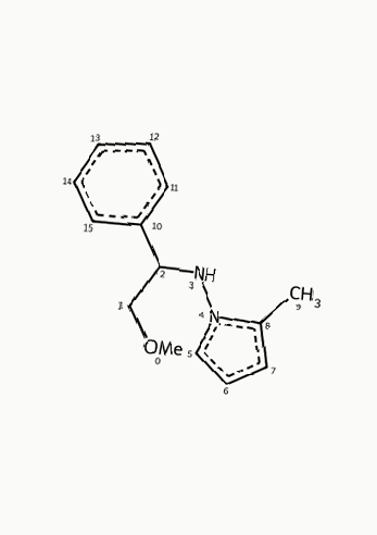 COCC(Nn1cccc1C)c1ccccc1